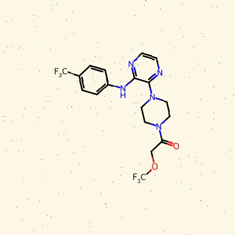 O=C(COC(F)(F)F)N1CCN(c2nccnc2Nc2ccc(C(F)(F)F)cc2)CC1